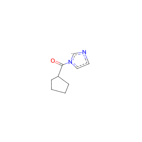 O=C(C1CCCC1)n1[c]ncc1